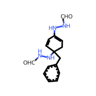 O=CNNC1=CCC(Cc2ccccc2)(NNC=O)C=C1